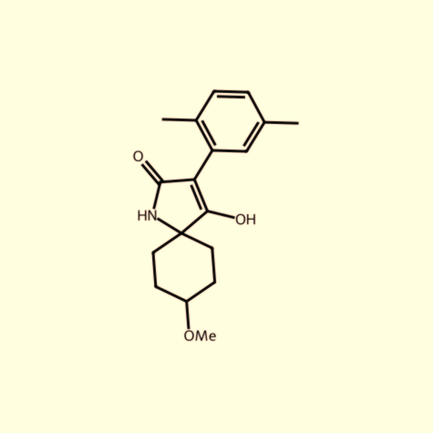 COC1CCC2(CC1)NC(=O)C(c1cc(C)ccc1C)=C2O